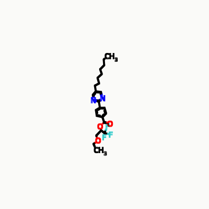 CCCCCCCCc1cnc(-c2ccc(C(=O)OC(COCC)C(F)(F)F)cc2)nc1